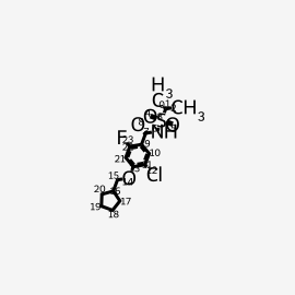 CC(C)S(=O)(=O)NC(=O)c1cc(Cl)c(OCC2CCCC2)cc1F